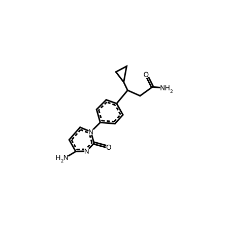 NC(=O)CC(c1ccc(-n2ccc(N)nc2=O)cc1)C1CC1